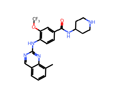 Cc1cccc2cnc(Nc3ccc(C(=O)NC4CCNCC4)cc3OC(F)(F)F)nc12